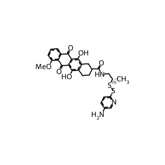 COc1cccc2c1C(=O)c1c(O)c3c(c(O)c1C2=O)CC(C(=O)NC[C@H](C)SSc1ccc(N)cn1)CC3